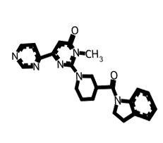 Cn1c(N2CCCC(C(=O)N3CCc4ccccc43)C2)nc(-c2ccncn2)cc1=O